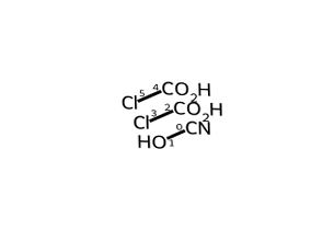 N#CO.O=C(O)Cl.O=C(O)Cl